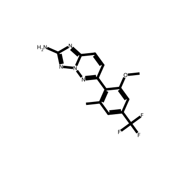 COc1cc(C(F)(F)F)cc(C)c1-c1ccc2nc(N)nn2n1